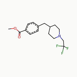 COC(=O)c1ccc(CC2CCN(CC(F)(F)F)CC2)cc1